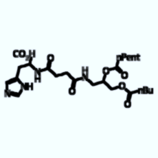 CCCCCC(=O)OC(CNC(=O)CCC(=O)NC(Cc1cnc[nH]1)C(=O)O)COC(=O)CCCC